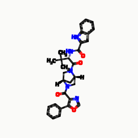 CC(C)(C)[C@H](NC(=O)c1cc2ccccc2[nH]1)C(=O)N1C[C@@H]2C[C@H]1CN2C(=O)c1ncoc1-c1ccccc1